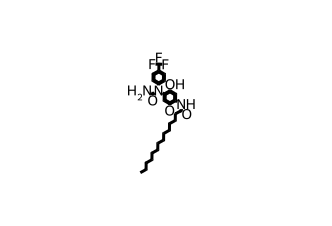 CCCCCCCCCCCCC1Oc2cc(N(C(N)=O)c3ccc(C(F)(F)F)cc3)c(O)cc2NC1=O